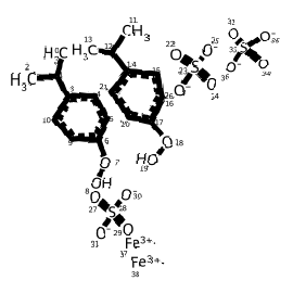 CC(C)c1ccc(OO)cc1.CC(C)c1ccc(OO)cc1.O=S(=O)([O-])[O-].O=S(=O)([O-])[O-].O=S(=O)([O-])[O-].[Fe+3].[Fe+3]